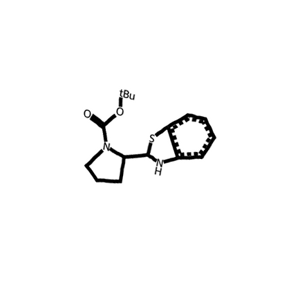 CC(C)(C)OC(=O)N1CCCC1C1Nc2ccccc2S1